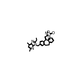 CCc1nc2c(C)cc(C)nc2n1Cc1ccc2c(c1)CCc1ccccc1/C2=C\c1noc(=O)[nH]1